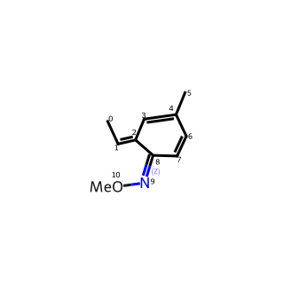 CC=C1C=C(C)C=C/C1=N/OC